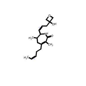 C/C=C\CCC1=C(C)C(=O)NC(/C=C\CC2(O)COC2)C(C)C1